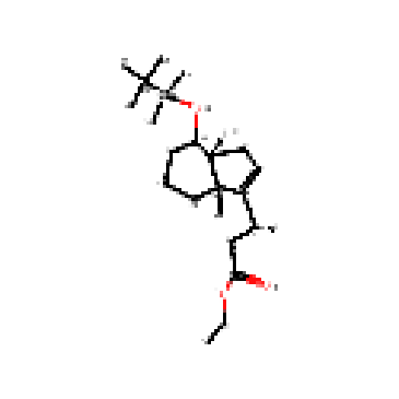 CCOC(=O)C[C@@H](C)C1=CC[C@H]2C(O[Si](C)(C)C(C)(C)C)CCCC12C